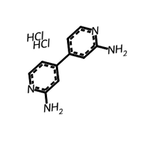 Cl.Cl.Nc1cc(-c2ccnc(N)c2)ccn1